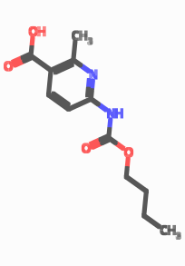 CCCCOC(=O)Nc1ccc(C(=O)O)c(C)n1